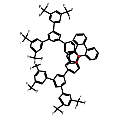 FC(F)(F)c1cc(-c2cc(-c3cc(C(F)(F)F)cc(C(F)(F)F)c3)cc(-c3ccc4c(c3)c3cc(-c5cc(-c6cc(C(F)(F)F)cc(C(F)(F)F)c6)cc(-c6cc(C(F)(F)F)cc(C(F)(F)F)c6)c5)ccc3n4-c3ccccc3-c3ccccc3-c3ccccc3)c2)cc(C(F)(F)F)c1